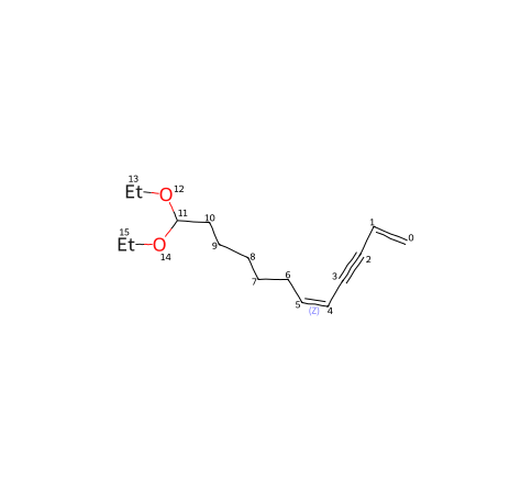 C=CC#C/C=C\CCCCCC(OCC)OCC